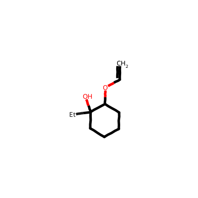 C=COC1CCCCC1(O)CC